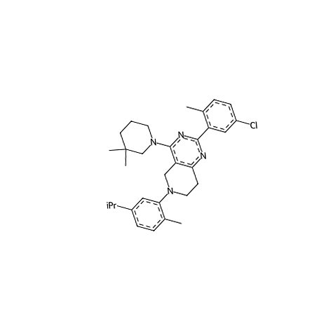 Cc1ccc(Cl)cc1-c1nc2c(c(N3CCCC(C)(C)C3)n1)CN(c1cc(C(C)C)ccc1C)CC2